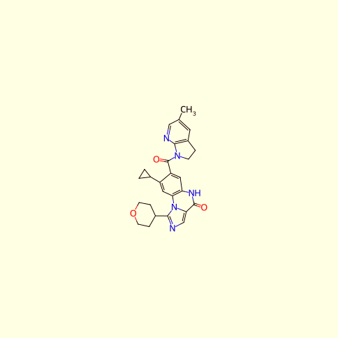 Cc1cnc2c(c1)CCN2C(=O)c1cc2[nH]c(=O)c3cnc(C4CCOCC4)n3c2cc1C1CC1